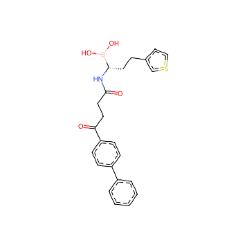 O=C(CCC(=O)c1ccc(-c2ccccc2)cc1)N[C@@H](CCc1ccsc1)B(O)O